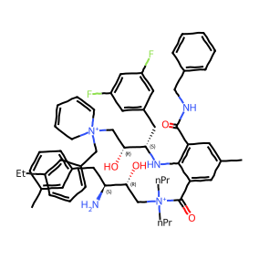 CCC[N+](CCC)(C[C@@H](O)[C@@H](N)Cc1cccc(C)c1)C(=O)c1cc(C)cc(C(=O)NCc2ccccc2)c1N[C@@H](Cc1cc(F)cc(F)c1)[C@H](O)C[N+]1(Cc2cccc(CC)c2)C=CC=CC1